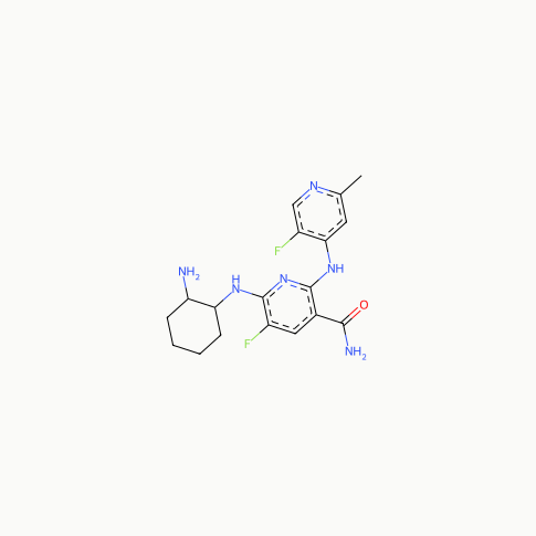 Cc1cc(Nc2nc(NC3CCCCC3N)c(F)cc2C(N)=O)c(F)cn1